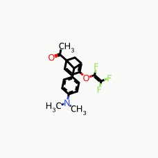 CC(=O)C12C=CC(OC(F)=C(F)F)=C(C1)C2c1ccc(N(C)C)cc1